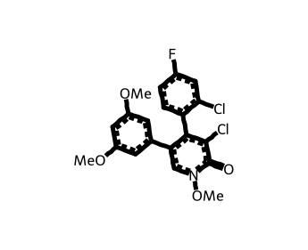 COc1cc(OC)cc(-c2cn(OC)c(=O)c(Cl)c2-c2ccc(F)cc2Cl)c1